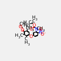 COCOc1c(C)cc(Oc2ccc([N+](=O)[O-])c(N(C)C(=O)OC(C)(C)C)c2)c(C)c1C